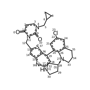 O=c1ccn(CC2CC2)c(=O)n1Cc1cc2nccc(-c3cc(Cl)cc4c3N([C@H]3CCNC3)CCC4)c2s1